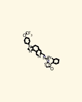 CC(C)c1ccccc1N1C(=O)CS/C1=N\N=C\c1cc2ccc3c(ncn3-c3ccc(OC(F)(F)F)cc3)c2cn1